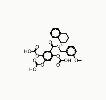 COc1cccc(CN(C(=O)c2cc(OC(=O)O)c(OC(=O)O)cc2OC(=O)O)[C@H]2CCCc3ccccc32)c1